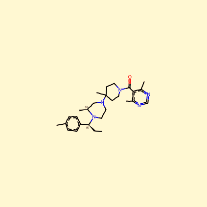 CC[C@@H](c1ccc(C)cc1)N1CCN(C2(C)CCN(C(=O)c3c(C)ncnc3C)CC2)C[C@@H]1C